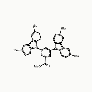 COC(=O)c1cc(-n2c3c(c4cc(C(C)(C)C)ccc42)C=C(C(C)(C)C)CC3)nc(-n2c3ccc(C(C)(C)C)cc3c3cc(C(C)(C)C)ccc32)c1